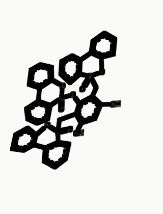 O=P1(Cc2c(O)cc(O)c(CP3(=O)Oc4ccccc4-c4ccccc43)c2OP2(=O)Oc3ccccc3-c3ccccc32)Oc2ccccc2-c2ccccc21